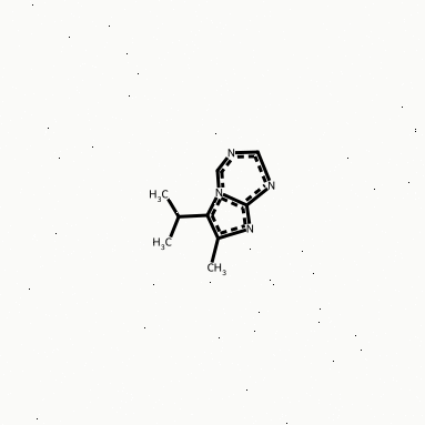 Cc1nc2ncncn2c1C(C)C